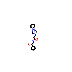 O=C(CCN1CCN(c2ccccc2)CC1)NCC(=O)c1ccccc1